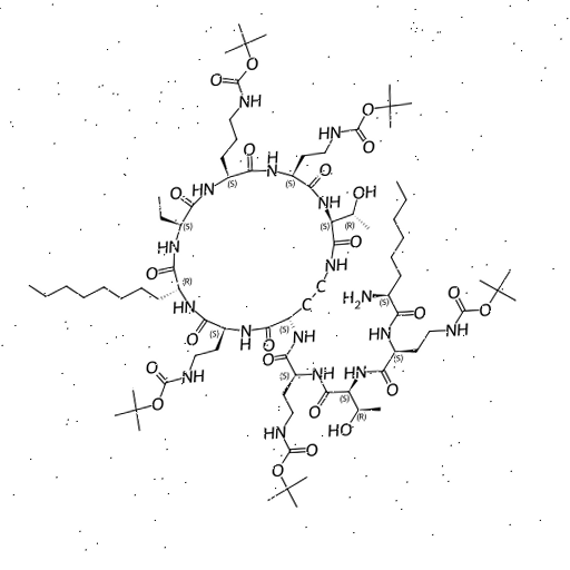 CCCCCCCC[C@H]1NC(=O)[C@H](CCNC(=O)OC(C)(C)C)NC(=O)[C@@H](NC(=O)[C@H](CCNC(=O)OC(C)(C)C)NC(=O)[C@@H](NC(=O)[C@H](CCNC(=O)OC(C)(C)C)NC(=O)[C@@H](N)CCCCCC)[C@@H](C)O)CCNC(=O)[C@H]([C@@H](C)O)NC(=O)[C@H](CCNC(=O)OC(C)(C)C)NC(=O)[C@H](CCCNC(=O)OC(C)(C)C)NC(=O)[C@H](CC)NC1=O